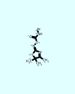 CC1=NC(=NOC(=O)NC(C)C)SC1(C)C